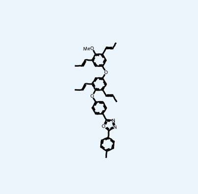 C/C=C/c1cc(Oc2cc(/C=C/C)c(Oc3ccc(-c4nnc(-c5ccc(C)cc5)o4)cc3)c(/C=C/C)c2)cc(/C=C/C)c1OC